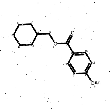 CC(=O)Oc1ccc(C(=O)OCC2CCCCC2)cc1